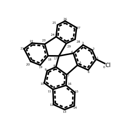 Clc1ccc2c(c1)-c1c(ccc3ccccc13)C21c2ccccc2-c2ccccc21